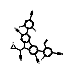 C=Cc1cc(C#N)cc(F)c1-c1cc2c(cc1C#N)C(C(C#N)C1CN1)c1cc(C#N)c(-c3c(F)cc(C#N)cc3F)cc1-2